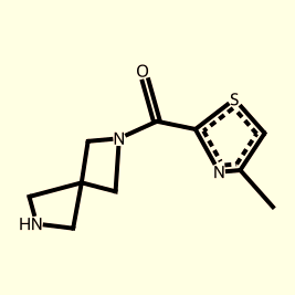 Cc1csc(C(=O)N2CC3(CNC3)C2)n1